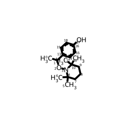 C[C](ON1C(C)(C)CCCC1(C)C)c1ccc(O)cc1